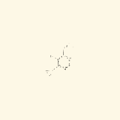 C=Cc1ncnc(C2CC2)c1N